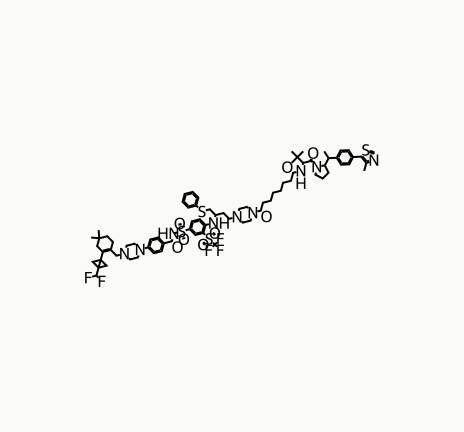 Cc1ncsc1-c1ccc(C(C)C2CCCN2C(=O)C(NC(=O)CCCCCCC(=O)N2CCN(CCC(CSc3ccccc3)Nc3ccc(S(=O)(=O)NC(=O)c4ccc(N5CCN(CC6=C(C78CC7(C(F)F)C8)CC(C)(C)CC6)CC5)cc4)cc3S(=O)(=O)C(F)(F)F)CC2)C(C)(C)C)cc1